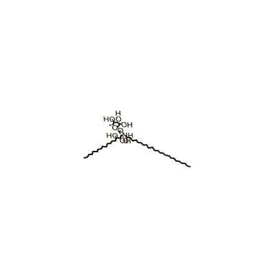 CCCCCCCCCCCCCCCCCCCCCCCC(=O)N[C@@H](CO[C@@H]1O[C@@H](C)[C@@H](O)[C@H](O)C1O)[C@H](O)[C@H](O)CCCCCCCCCCCCCC